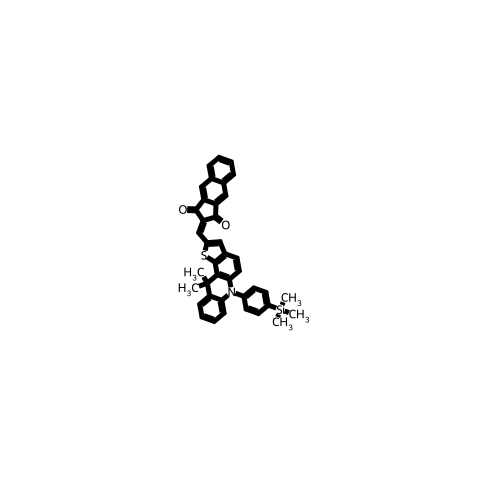 CC1(C)c2ccccc2N(c2ccc([Si](C)(C)C)cc2)c2ccc3cc(C=C4C(=O)c5cc6ccccc6cc5C4=O)sc3c21